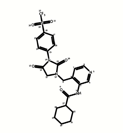 O=C(Nc1cnccc1CN1CC(=O)N(c2ccc(S(=O)(=O)C(F)(F)F)cc2)C1=O)C1CCCCC1